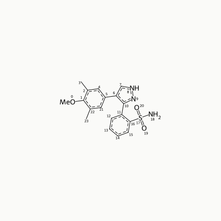 COc1c(C)cc(-c2c[nH]nc2-c2ccccc2S(N)(=O)=O)cc1C